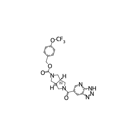 O=C(OCc1ccc(OC(F)(F)F)cc1)N1C[C@@H]2CN(C(=O)c3cnc4[nH]nnc4c3)C[C@H]2C1